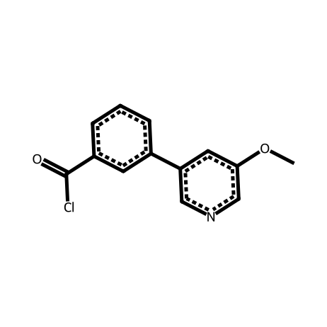 COc1cncc(-c2cccc(C(=O)Cl)c2)c1